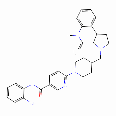 C=CN(C)c1ccccc1C1CCN(CC2CCN(c3ccc(C(=O)Nc4ccccc4N)cn3)CC2)C1